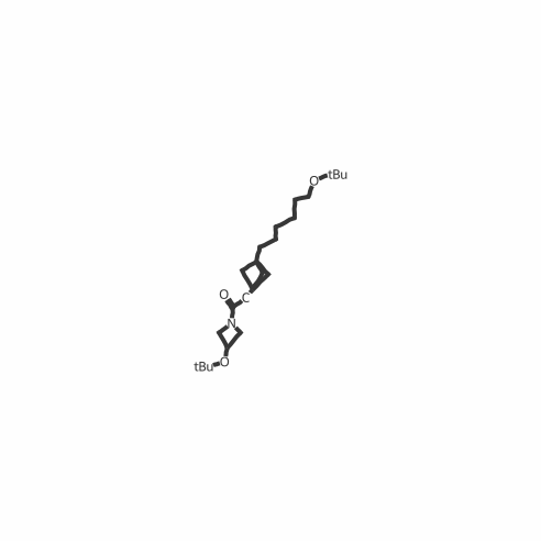 CC(C)(C)OCCCCCCC12CC(CC(=O)N3CC(OC(C)(C)C)C3)(C1)C2